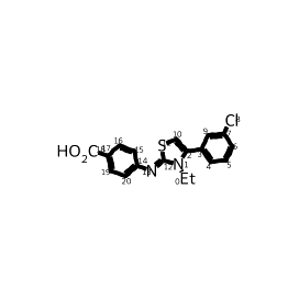 CCn1c(-c2cccc(Cl)c2)csc1=Nc1ccc(C(=O)O)cc1